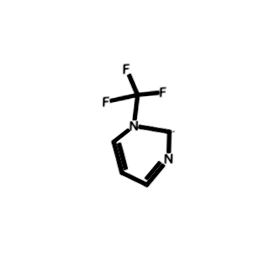 FC(F)(F)N1[CH]N=CC=C1